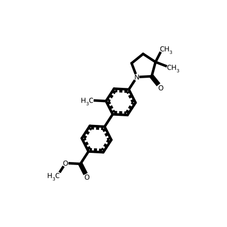 COC(=O)c1ccc(-c2ccc(N3CCC(C)(C)C3=O)cc2C)cc1